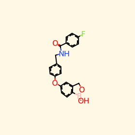 O=C(NCc1ccc(Oc2ccc3c(c2)COB3O)cc1)c1ccc(F)cc1